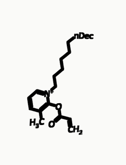 C=CC(=O)Oc1c(C)ccc[n+]1CCCCCCCCCCCCCCCC